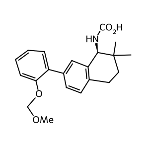 COCOc1ccccc1-c1ccc2c(c1)[C@@H](NC(=O)O)C(C)(C)CC2